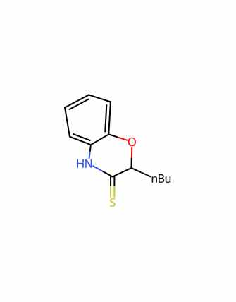 CCCCC1Oc2ccccc2NC1=S